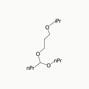 [CH2]CCC(OCCC)OCCCOC(C)C